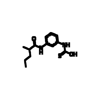 CCCC(C)C(=O)Nc1cccc(NC(O)=S)c1